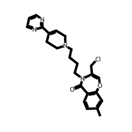 Cc1ccc2c(c1)OC=C(CCl)N(CCCCN1CC=C(c3ncccn3)CC1)C2=O